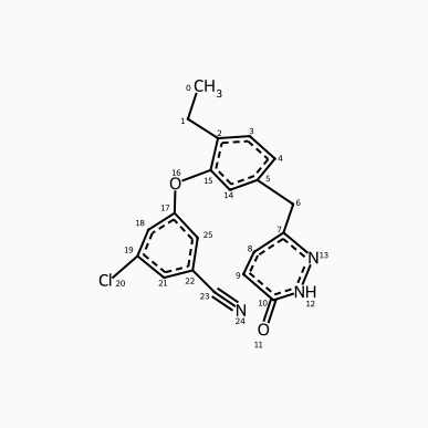 CCc1ccc(Cc2ccc(=O)[nH]n2)cc1Oc1cc(Cl)cc(C#N)c1